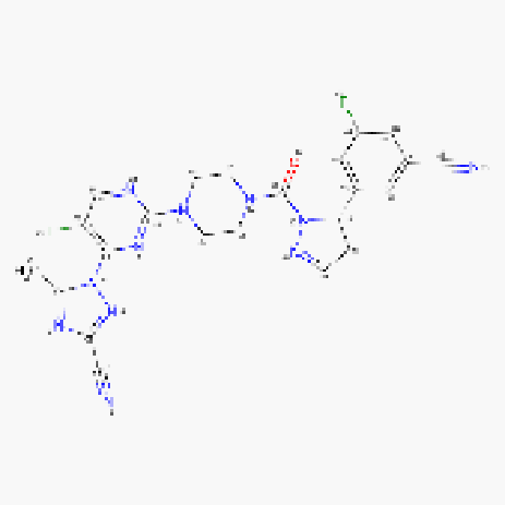 Cc1nc(C#N)nn1-c1nc(N2CCN(C(=O)N3N=CC[C@H]3c3cc(F)cc(C#N)c3)CC2)ncc1F